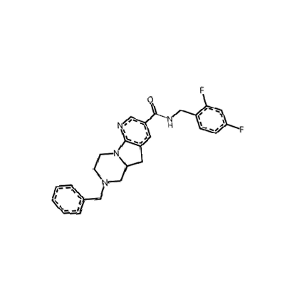 O=C(NCc1ccc(F)cc1F)c1cnc2c(c1)CC1CN(Cc3ccccc3)CCN21